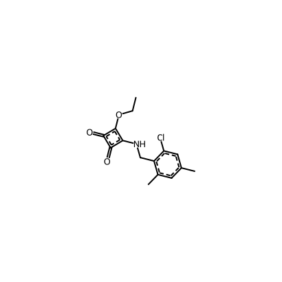 CCOc1c(NCc2c(C)cc(C)cc2Cl)c(=O)c1=O